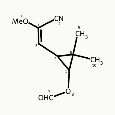 COC(C#N)=CC1C(OC=O)C1(C)C